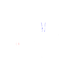 O=C1N[C]2C=CC1C2